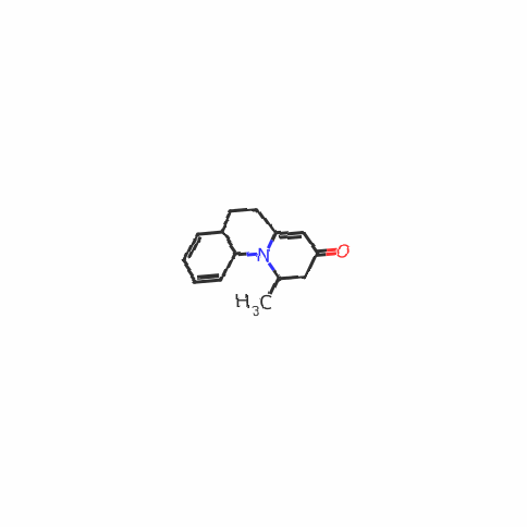 CC1CC(=O)C=C2CCC3C=CC=CC3N21